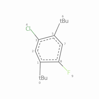 CC(C)(C)c1cc(Cl)c(C(C)(C)C)cc1F